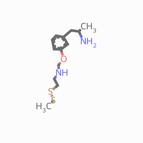 CSSCCNCOc1cccc(CC(C)N)c1